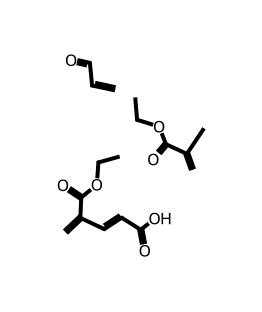 C=C(C)C(=O)OCC.C=C(C=CC(=O)O)C(=O)OCC.C=CC=O